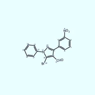 O=Cc1c(-c2cccc([N+](=O)[O-])c2)nn(-c2ccccc2)c1Br